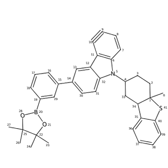 CC12CCC(n3c4ccc#cc4c4cc(-c5cccc(B6OC(C)(C)C(C)(C)O6)c5)ccc43)CC1c1ccccc1S2